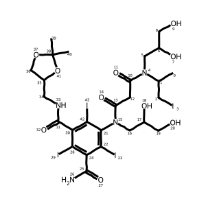 CC(CI)N(CC(O)CO)C(=O)CC(=O)N(CC(O)CO)c1c(I)c(C(N)=O)c(I)c(C(=O)NCC2COC(C)(C)O2)c1I